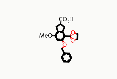 COc1cc(OCc2ccccc2)c(C2OCCO2)c2c1CC(C(=O)O)C2